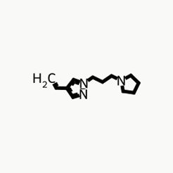 C=Cc1cnn(CCCN2CCCC2)c1